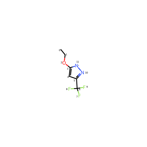 CCOC1=CC(C(F)(F)F)=N[N]1